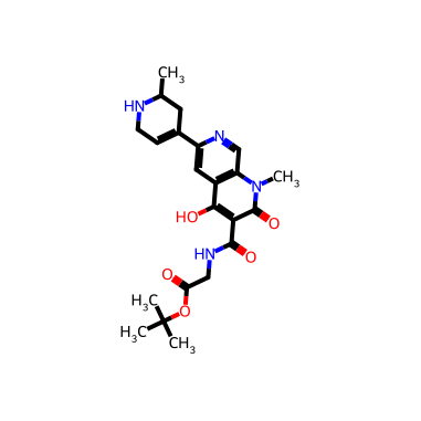 CC1CC(c2cc3c(O)c(C(=O)NCC(=O)OC(C)(C)C)c(=O)n(C)c3cn2)=CCN1